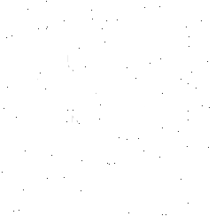 CCCC(CC)C1(C)NOC(C)N1